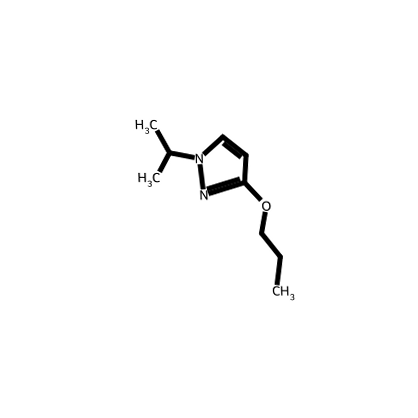 CCCOc1ccn(C(C)C)n1